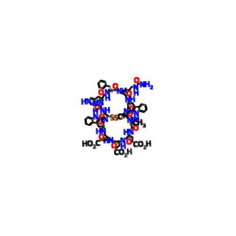 C[C@@H]1NC(=O)[C@@H]2CSSC(NC(=O)[C@H](Cc3c[nH]c4ccccc34)NC(=O)[C@H](CCC(=O)O)NC(=O)[C@H](CCC(=O)O)NC(=O)[C@H](CCC(=O)O)NC1=O)C(=O)NC(=O)N[C@@H](Cc1c[nH]cn1)C(=O)N[C@H](Cc1ccccc1)C(=O)N[C@@H](CCCNC(N)=O)C(=O)N[C@@H](Cc1c[nH]c3ccccc13)C(=O)N2